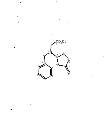 CCOC(=O)CN(Cc1ccccc1)C1COC(=O)C1